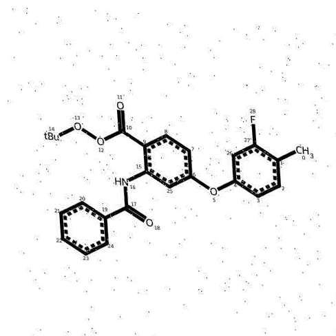 Cc1ccc(Oc2ccc(C(=O)OOC(C)(C)C)c(NC(=O)c3ccccc3)c2)cc1F